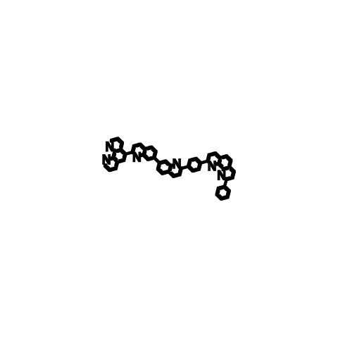 c1ccc(-c2ccc3ccc4ccc(-c5ccc(-c6ccc7ccc(-c8ccc9ccc(-c%10cc%11cccnc%11c%11ncccc%10%11)nc9c8)cc7n6)cc5)nc4c3n2)cc1